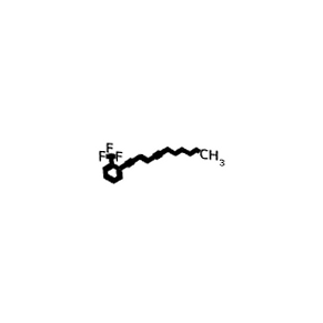 CCCCCCC#CC=CC#Cc1ccccc1C(F)(F)F